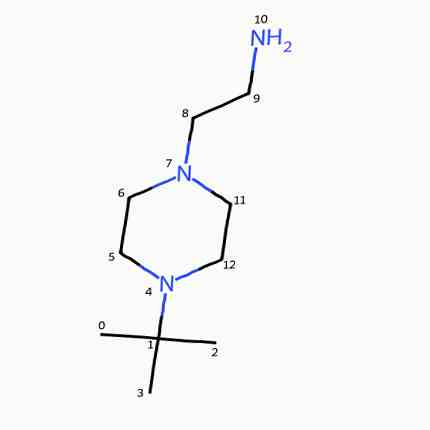 CC(C)(C)N1CCN(CCN)CC1